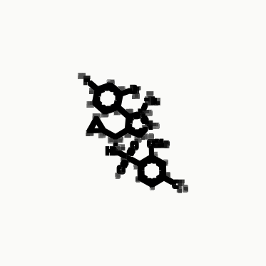 COc1cc(C(F)(F)F)ccc1S(=O)(=O)N[C@@H](c1cnn(C(C)(C)C)c1-c1ccc(F)cc1Br)C1CC1